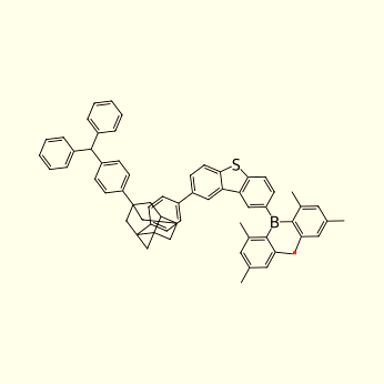 Cc1cc(C)c(B(c2ccc3sc4ccc(-c5ccc(C67CC8(c9ccc(C(c%10ccccc%10)c%10ccccc%10)cc9)CC9CC6(C7)C9C8)cc5)cc4c3c2)c2c(C)cc(C)cc2C)c(C)c1